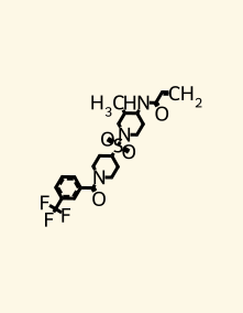 C=CC(=O)NC1CCN(S(=O)(=O)C2CCN(C(=O)c3cccc(C(F)(F)F)c3)CC2)CC1C